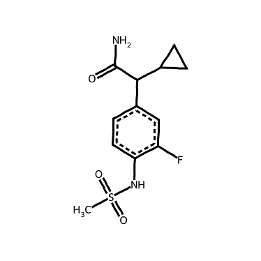 CS(=O)(=O)Nc1ccc(C(C(N)=O)C2CC2)cc1F